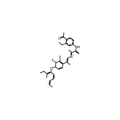 C=C(Nc1ccc(C(C)=O)c(CC)c1)/C(C)=N/C=C(\C)C1=C(F)C(F)C(OC(/C=C\C=C/C)=C(/C)CC)C=C1